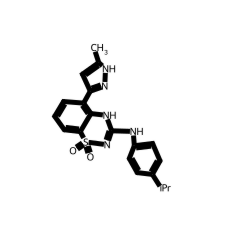 Cc1cc(-c2cccc3c2NC(Nc2ccc(C(C)C)cc2)=NS3(=O)=O)n[nH]1